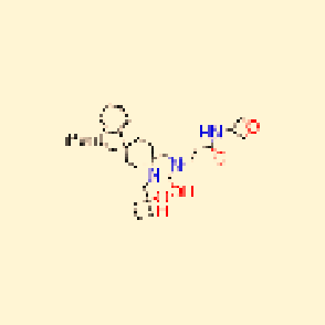 CCCC(C)C[C@]1(c2ccccc2)CC[C@]2(CC1)CN(CCC(=O)NC1COC1)C(O)N2CC1(O)CCC1